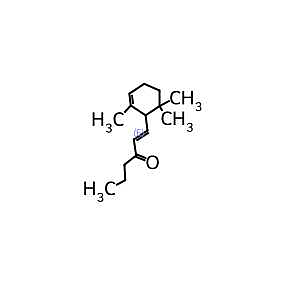 CCCC(=O)/C=C/C1C(C)=CCCC1(C)C